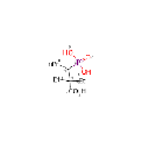 CCCC(C(CC)(CC)C(=O)O)P(=O)(O)O